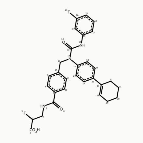 O=C(NCC(F)C(=O)O)c1ccc(CN(C(=O)Nc2cccc(F)c2)c2ccc(C3=CCCCC3)cc2)cc1